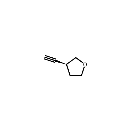 C#C[C@@H]1CCOC1